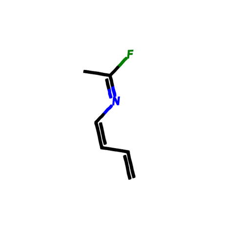 C=C/C=C\N=C(/C)F